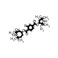 CC1(C)CCC(OC(=O)c2ccc(C(=O)OC3CC(C)(C)NC3(C)C)cc2F)CC(C)(C)N1